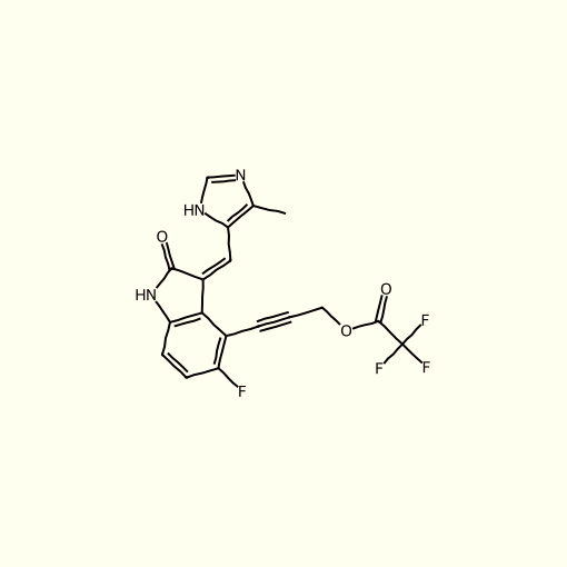 Cc1nc[nH]c1/C=C1\C(=O)Nc2ccc(F)c(C#CCOC(=O)C(F)(F)F)c21